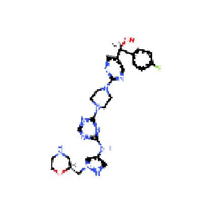 C[C@](O)(c1ccc(F)cc1)c1cnc(N2CCN(c3ncnc(Nc4cnn(C[C@@H]5CNCCO5)c4)n3)CC2)nc1